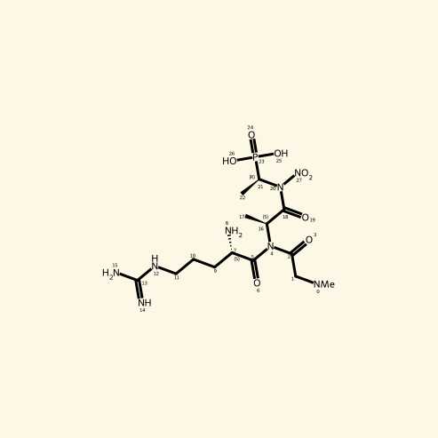 CNCC(=O)N(C(=O)[C@@H](N)CCCNC(=N)N)[C@@H](C)C(=O)N([C@@H](C)P(=O)(O)O)[N+](=O)[O-]